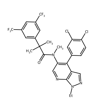 CCn1ncc2c(-c3ccc(Cl)c(Cl)c3)c(N(C)C(=O)C(C)(C)c3cc(C(F)(F)F)cc(C(F)(F)F)c3)cnc21